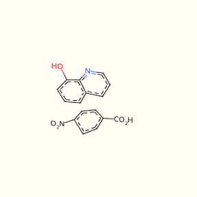 O=C(O)c1ccc([N+](=O)[O-])cc1.Oc1cccc2cccnc12